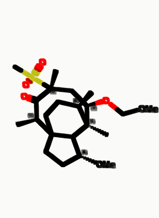 COCO[C@@H]1C[C@@](C)(S(C)(=O)=O)C(=O)[C@H](C)C23CC[C@@H](C)[C@]1(C)C2[C@H](OC)CC3